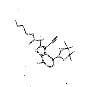 CCCCOC(=O)Nc1sc2c(F)ccc(B3OC(C)(C)C(C)(C)O3)c2c1C#N